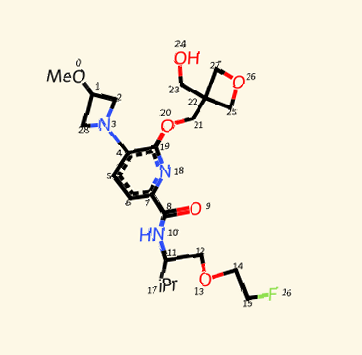 COC1CN(c2ccc(C(=O)NC(COCCF)C(C)C)nc2OCC2(CO)COC2)C1